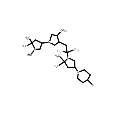 COC1CN(C2CN(C(C)(C)C)C(C)(C)C2)CC1CC(C)(C)N1CC(N2CCC(F)CC2)CC1(C)C